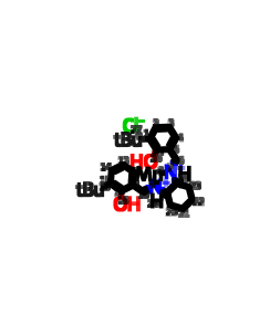 CC(C)(C)c1cccc(C=[N+]2[Mn][N+](=Cc3cccc(C(C)(C)C)c3O)[C@@H]3CCCC[C@H]32)c1O.[Cl-]